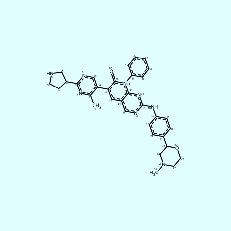 Cc1nc(C2CCNC2)ncc1-c1cc2cnc(Nc3ccc(C4CN(C)CCO4)cc3)nc2n(-c2ccccc2)c1=O